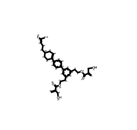 C=C(CO)C(=O)OCCc1cc(CCOC(=O)C(=C)CO)cc(-c2ccc(C3=CCC(CCC=C(F)F)CC3)cc2)c1